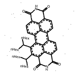 CCCCCCC(CCCCCC)c1c2c3c(ccc4c5ccc6c7c(ccc(c(c1C(CCCCCC)CCCCCC)c34)c75)C(=O)NC6=O)C(=O)NC2=O